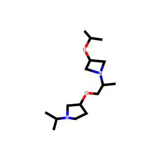 CC(C)OC1CN(C(C)COC2CCN(C(C)C)C2)C1